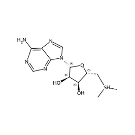 C[SH](C)C[C@H]1O[C@@H](n2cnc3c(N)ncnc32)[C@H](O)[C@@H]1O